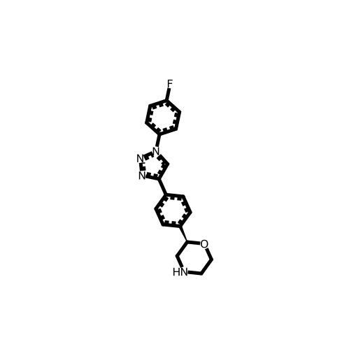 Fc1ccc(-n2cc(-c3ccc([C@@H]4CNCCO4)cc3)nn2)cc1